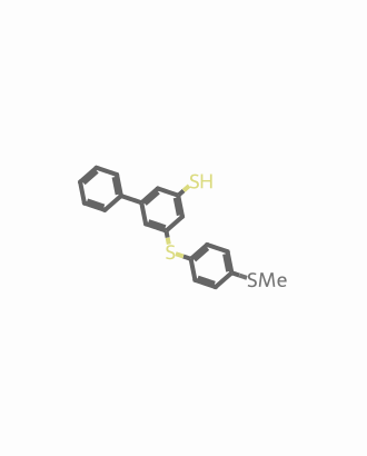 CSc1ccc(Sc2cc(S)cc(-c3ccccc3)c2)cc1